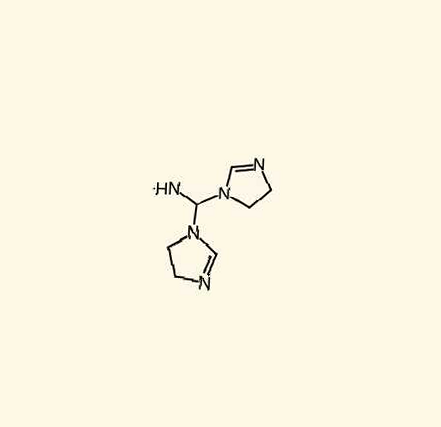 [NH]C(N1C=NCC1)N1C=NCC1